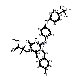 COC(=O)C(C)(C)Cn1c(=O)[nH]/c(=N\c2ccc(Oc3ccc(C(F)(F)F)nn3)cc2)n(Cc2ccc(Cl)cc2)c1=O